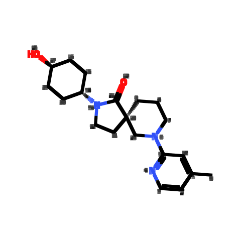 Cc1[c]cnc(N2CCC[C@@]3(CCN([C@H]4CC[C@H](O)CC4)C3=O)C2)c1